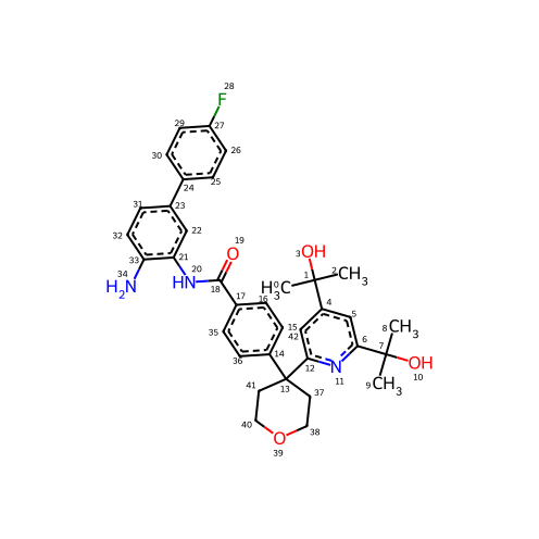 CC(C)(O)c1cc(C(C)(C)O)nc(C2(c3ccc(C(=O)Nc4cc(-c5ccc(F)cc5)ccc4N)cc3)CCOCC2)c1